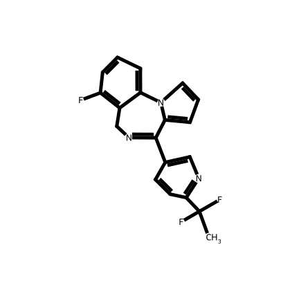 CC(F)(F)c1ccc(C2=NCc3c(F)cccc3-n3cccc32)cn1